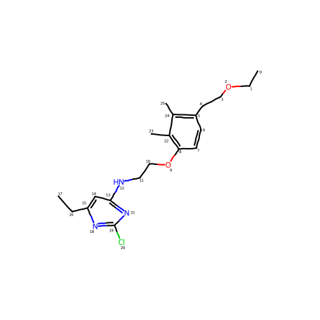 CCOCCc1ccc(OCCNc2cc(CC)nc(Cl)n2)c(C)c1C